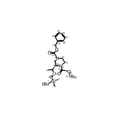 CC(OO[Si](C)(C)C(C)(C)C)[C@H]1CN(C(=O)OCc2ccccc2)CCN1C(=O)OC(C)(C)C